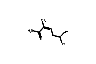 CC(=CCN(C(C)C)C(C)C)C(N)=O